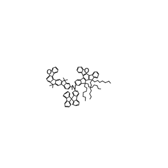 CCCCCCCC1(CCCCCCC)c2ccccc2-c2c1c1c(c3c2oc2ccccc23)-c2ccc(N(c3ccc4c(c3)C(C)(C)c3cc5c(cc3-4)C(C)(C)c3ccc4oc6ccccc6c4c3-5)c3ccc4c(c3)C3(c5ccccc5-c5ccccc53)c3ccccc3-4)cc2C1(CCCCCCC)CCCCCCC